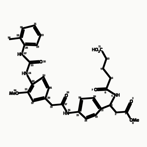 COC(=O)CC(NC(=O)CCCC(=O)O)c1ccc(NC(=O)Cc2ccc(NC(=O)Nc3ccccc3C)c(OC)c2)cc1